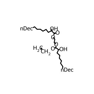 C=C.CCCCCCCCCCCCCCCCC(O)C(=O)OCCOC(=O)C(O)CCCCCCCCCCCCCCCC